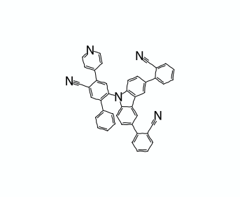 N#Cc1ccccc1-c1ccc2c(c1)c1cc(-c3ccccc3C#N)ccc1n2-c1cc(-c2ccncc2)c(C#N)cc1-c1ccccc1